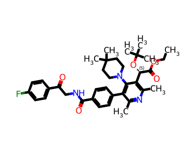 CCOC(=O)[C@@H](OC(C)(C)C)c1c(C)nc(C)c(-c2ccc(C(=O)NCC(=O)c3ccc(F)cc3)cc2)c1N1CCC(C)(C)CC1